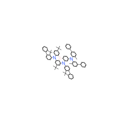 Cc1ccc(-c2ccccc2)cc1N(c1ccc2c(c1)N(c1ccc3c(c1)C(C)(C)c1ccccc1-3)c1cc(C(C)(C)C)cc3c1B2c1cc(C(C)(C)C)ccc1N3c1cccc2c1C(C)(C)c1ccccc1-2)c1cc(-c2ccccc2)ccc1C